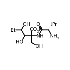 CCC(O)C(O)C(CO)(NC(=O)[C@@H](N)C(C)C)C(=O)O